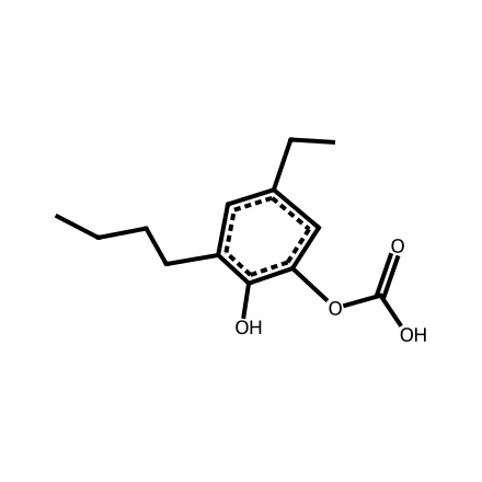 CCCCc1cc(CC)cc(OC(=O)O)c1O